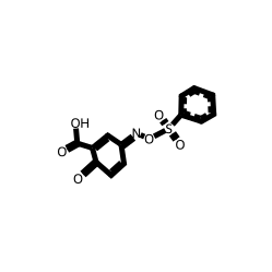 O=C(O)C1=CC(=NOS(=O)(=O)c2ccccc2)C=CC1=O